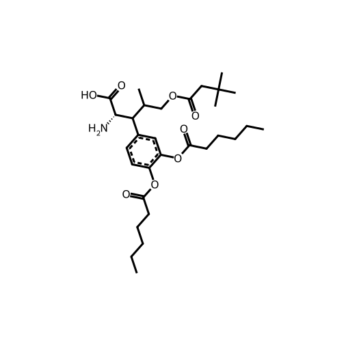 CCCCCC(=O)Oc1ccc(C(C(C)COC(=O)CC(C)(C)C)[C@H](N)C(=O)O)cc1OC(=O)CCCCC